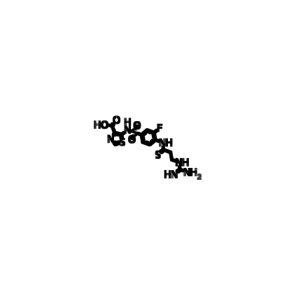 N=C(N)NCCC(=S)Nc1ccc(S(=O)(=O)Nc2scnc2C(=O)O)cc1F